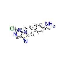 CC(N)c1ccc(C2CCN(c3nc(Cl)ncc3C#N)CC2)cc1